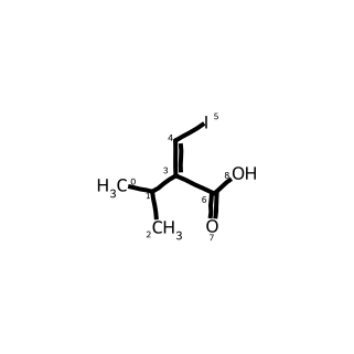 CC(C)C(=CI)C(=O)O